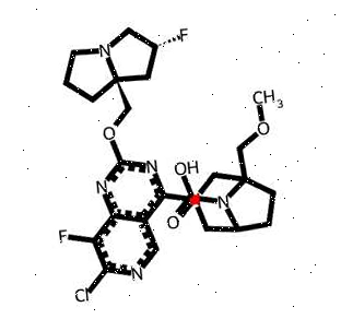 COCC12CCC(CN(c3nc(OC[C@@]45CCCN4C[C@H](F)C5)nc4c(F)c(Cl)ncc34)C1)N2C(=O)O